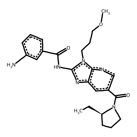 CC[C@@H]1CCCN1C(=O)c1cnc2c(c1)nc(NC(=O)c1cccc(N)c1)n2CCCOC